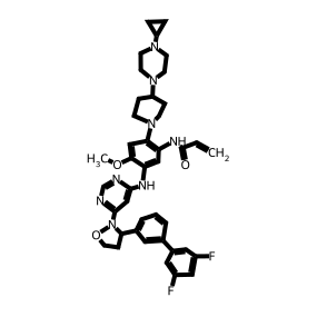 C=CC(=O)Nc1cc(Nc2cc(N3OCCC3c3cccc(-c4cc(F)cc(F)c4)c3)ncn2)c(OC)cc1N1CCC(N2CCN(C3CC3)CC2)CC1